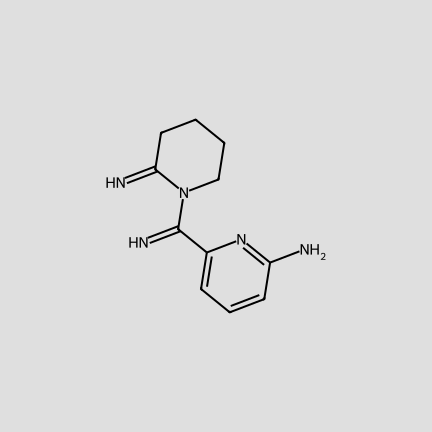 N=C1CCCCN1C(=N)c1cccc(N)n1